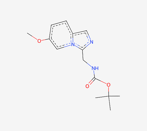 COc1ccc2cnc(CNC(=O)OC(C)(C)C)n2c1